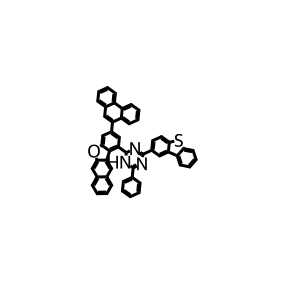 c1ccc(C2=NC(c3ccc4sc5ccccc5c4c3)=NC(c3cc(-c4cc5ccccc5c5ccccc45)cc4oc5cc6ccccc6cc5c34)N2)cc1